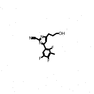 Cc1c(F)c(F)cc(-c2cc(CCCO)nc(C#N)n2)c1F